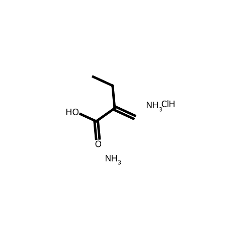 C=C(CC)C(=O)O.Cl.N.N